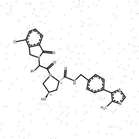 Cc1ncsc1-c1ccc(CNC(=O)[C@@H]2C[C@@H](O)CN2C(=O)C(C(C)C)N2Cc3c(Cl)cccc3C2=O)cc1